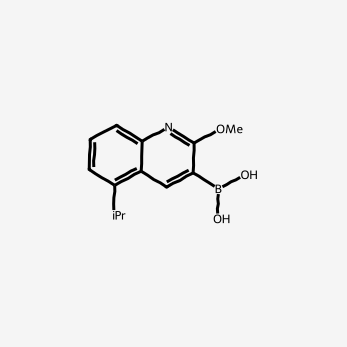 COc1nc2cccc(C(C)C)c2cc1B(O)O